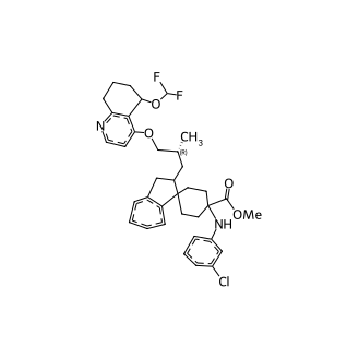 COC(=O)C1(Nc2cccc(Cl)c2)CCC2(CC1)c1ccccc1CC2C[C@@H](C)COc1ccnc2c1C(OC(F)F)CCC2